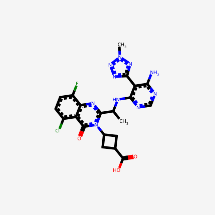 CC(Nc1ncnc(N)c1-c1nnn(C)n1)c1nc2c(F)ccc(Cl)c2c(=O)n1C1CC(C(=O)O)C1